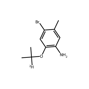 [2H]C(C)(C)Oc1cc(Br)c(C)cc1N